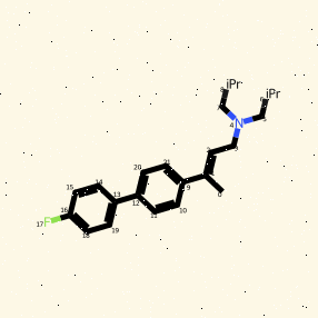 CC(=CCN(CC(C)C)CC(C)C)c1ccc(-c2ccc(F)cc2)cc1